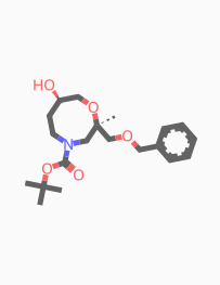 CC(C)(C)OC(=O)N1CC[C@@H](O)CO[C@@](C)(COCc2ccccc2)C1